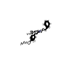 COc1ccc(C(C/C=N/OCc2ccccc2)P(=O)(O)O)cc1